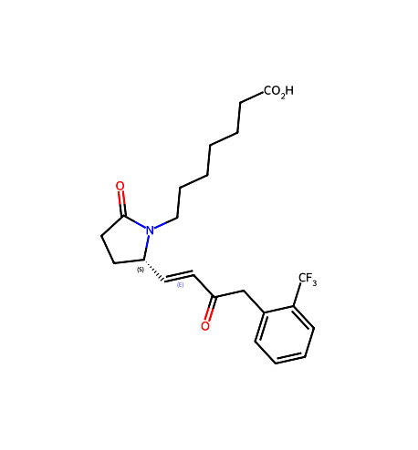 O=C(O)CCCCCCN1C(=O)CC[C@H]1/C=C/C(=O)Cc1ccccc1C(F)(F)F